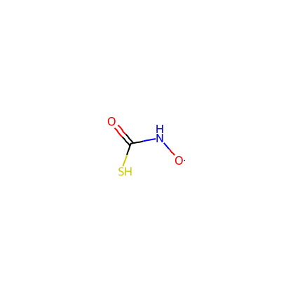 [O]NC(=O)S